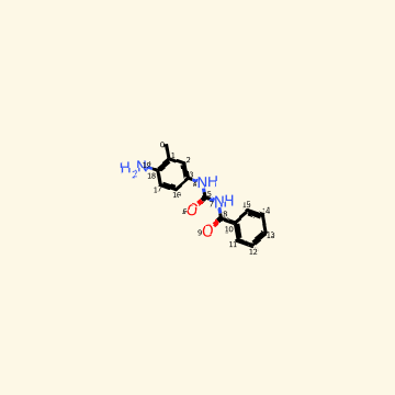 Cc1cc(NC(=O)NC(=O)c2ccccc2)ccc1N